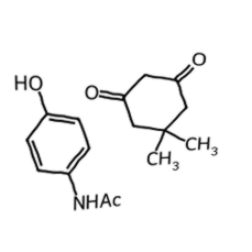 CC(=O)Nc1ccc(O)cc1.CC1(C)CC(=O)CC(=O)C1